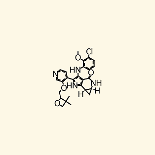 COc1c(Cl)cccc1Nc1c(-c2ccncc2OC[C@@H]2OCC2(C)C)[nH]c2c1C(=O)N[C@H]1C[C@@H]21